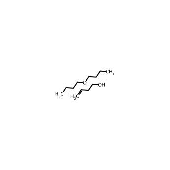 C=CCCO.CCCCOCCCC